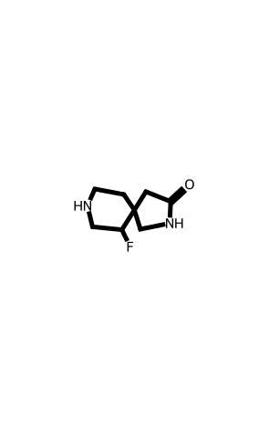 O=C1CC2(CCNCC2F)CN1